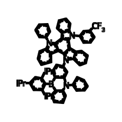 CC(C)c1cc(C(C)C)c(B2c3ccccc3N(c3ccccc3)c3cc(-n4c5ccccc5c5c6c(c7ccccc7n6-c6cccc(C(F)(F)F)c6)c6c(c7ccccc7n6-c6ccccc6)c54)ccc32)c(C(C)C)c1